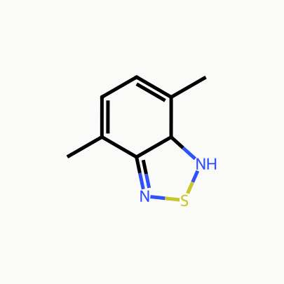 CC1=CC=C(C)C2NSN=C12